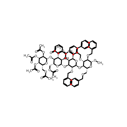 CO[C@@H]1O[C@H](COCc2ccccc2)[C@@H](O[C@@H]2O[C@H](COCc3ccccc3)[C@H](OCc3ccccc3)[C@H](O[C@@H]3O[C@H](COC(C)=O)[C@@H](O[C@@H]4O[C@H](COC(C)=O)[C@H](OC(C)=O)[C@H](OC(C)=O)[C@H]4OC(C)=O)[C@H](OC(C)=O)[C@H]3NC(C)=O)[C@H]2OCc2ccccc2)[C@H](OCc2ccccc2)[C@H]1OCc1ccccc1